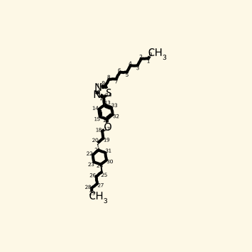 CCCCCCCCCc1nnc(-c2ccc(OCCC[C@H]3CC[C@H](CCCCC)CC3)cc2)s1